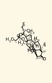 CCC(=O)O[C@]1(C(=O)SCF)[C@H](C)C[C@H]2[C@@H]3C[C@H](F)C4=CC(=O)C=C[C@]4(C)[C@@]34O[C@H]4C[C@@]21C